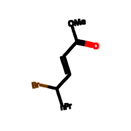 CCCC(Br)C=CC(=O)OC